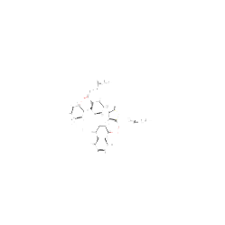 CNCCC(Oc1ccc(C(F)(F)F)cc1)c1ccccc1.CNCC[C@H](Oc1cccc2ccccc12)c1cccs1